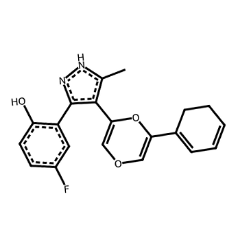 Cc1[nH]nc(-c2cc(F)ccc2O)c1C1=COC=C(C2=CC=CCC2)O1